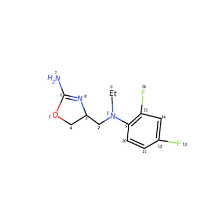 CCN(CC1COC(N)=N1)c1ccc(F)cc1F